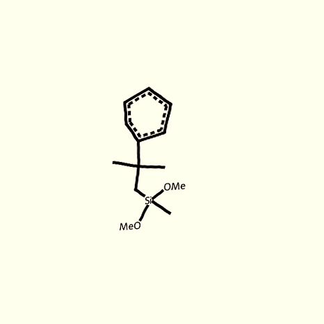 CO[Si](C)(CC(C)(C)c1ccccc1)OC